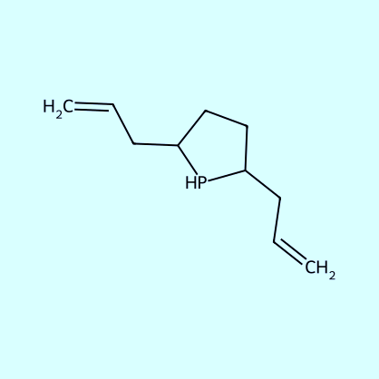 C=CCC1CCC(CC=C)P1